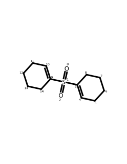 O=S(=O)(C1=CCCCC1)C1=CCCCC1